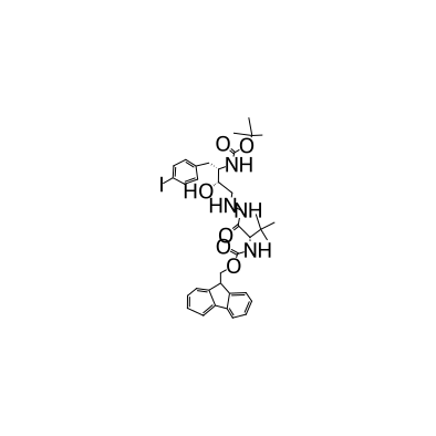 CC(C)(C)OC(=O)N[C@@H](Cc1ccc(I)cc1)[C@@H](O)CNNC(=O)[C@@H](NC(=O)OCC1c2ccccc2-c2ccccc21)C(C)(C)C